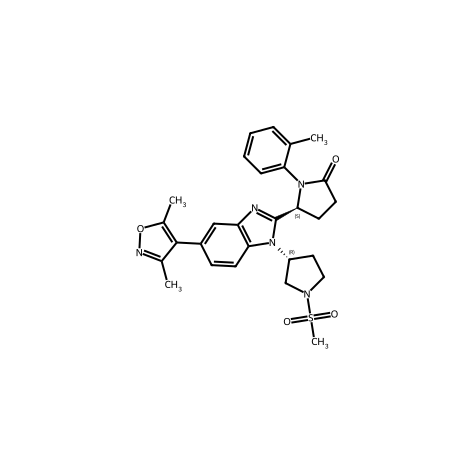 Cc1ccccc1N1C(=O)CC[C@H]1c1nc2cc(-c3c(C)noc3C)ccc2n1[C@@H]1CCN(S(C)(=O)=O)C1